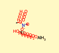 CCO.CO[N+](=O)[O-].O.O.O.O.O.O.O.O.O.[AlH3]